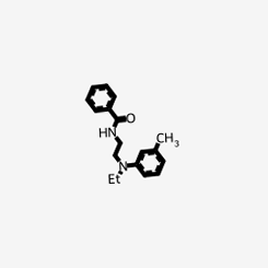 CCN(CCNC(=O)c1ccccc1)c1cccc(C)c1